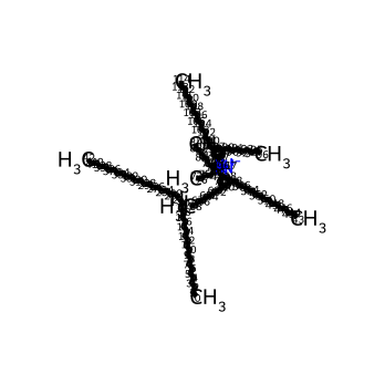 CCCCCCCCCCCCCCCCCCCC[CH2][Ni][CH2]CCCCCCCCCCCCCCCCCCCC.CCCCCCCCCCCCCCCCc1cc(CCCCCCCC)cc(C2=C(CCCC)C(CCCCCC)=C(c3cc(CCCCCCCC)cc(CCCCCCCCCCCCCCCC)c3)[N+]2=[N-])c1